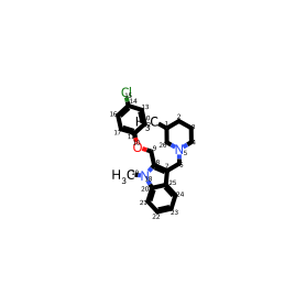 CC1CCCN(Cc2c(COc3ccc(Cl)cc3)n(C)c3ccccc23)C1